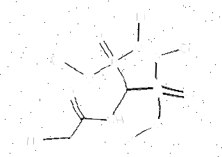 CCOP(=O)(OCC)C(NC(=O)CS)P(=O)(OCC)OCC